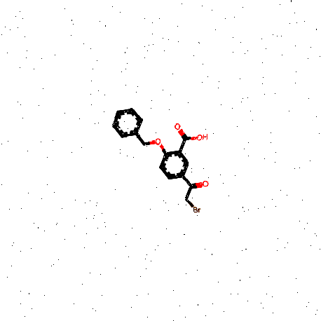 O=C(CBr)c1ccc(OCc2ccccc2)c(C(=O)O)c1